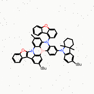 Cc1cc2c3c(c1)-n1c4oc5ccccc5c4c4cc(C(C)(C)C)cc(c41)B3c1ccc(N3c4ccc(C(C)(C)C)cc4C4(C)CCCCC34C)cc1N2c1cccc2oc3ccccc3c12